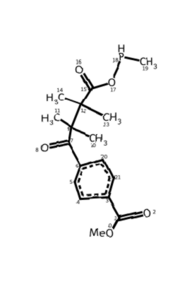 COC(=O)c1ccc(C(=O)C(C)(C)C(C)(C)C(=O)OPC)cc1